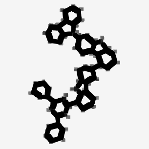 c1ccc(-c2nc(-c3ccccc3)nc(-c3cccc4c3oc3ccc(-c5cccc6oc7cc(-n8c9ccccc9c9ccccc98)ccc7c56)cc34)n2)cc1